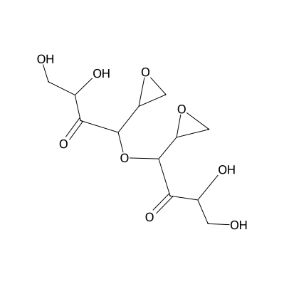 O=C(C(O)CO)C(OC(C(=O)C(O)CO)C1CO1)C1CO1